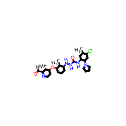 CNC(=O)c1cc(Oc2cccc(NNC(=O)Nc3cc(C)c(Cl)cc3-n3cccc3)c2C)ccn1